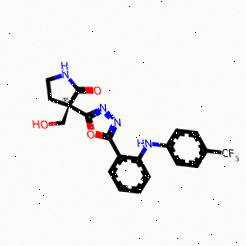 O=C1NCC[C@@]1(CO)c1nnc(-c2ccccc2Nc2ccc(C(F)(F)F)cc2)o1